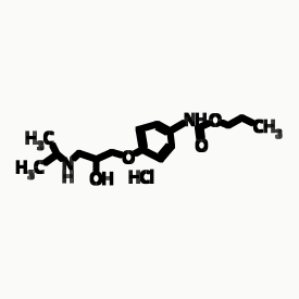 CCCOC(=O)Nc1ccc(OCC(O)CNC(C)C)cc1.Cl